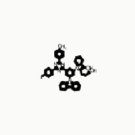 C#C/C=C\c1c(C)c2ccccc2n1-c1cc(-c2nc(-c3ccc(C)cc3)nc(-c3ccc(I)cc3)n2)cc(-n2c3ccccc3c3ccccc32)c1